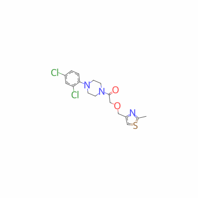 Cc1nc(COCC(=O)N2CCN(c3ccc(Cl)cc3Cl)CC2)cs1